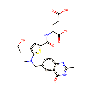 CCO.Cc1nc2ccc(CN(C)c3ccc(C(=O)NC(CCC(=O)O)C(=O)O)s3)cc2c(=O)[nH]1